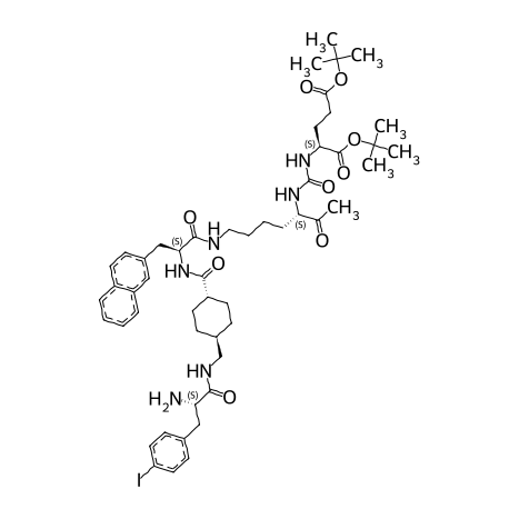 CC(=O)[C@H](CCCCNC(=O)[C@H](Cc1ccc2ccccc2c1)NC(=O)[C@H]1CC[C@H](CNC(=O)[C@@H](N)Cc2ccc(I)cc2)CC1)NC(=O)N[C@@H](CCC(=O)OC(C)(C)C)C(=O)OC(C)(C)C